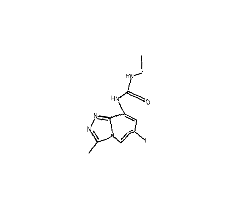 CCNC(=O)Nc1cc(I)cn2c(C)nnc12